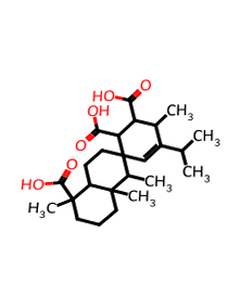 CC(C)C1=CC2(CCC3C(C)(C(=O)O)CCCC3(C)C2C)C(C(=O)O)C(C(=O)O)C1C